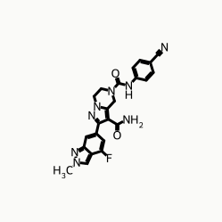 Cn1cc2c(F)cc(-c3nn4c(c3C(N)=O)CN(C(=O)Nc3ccc(C#N)cc3)CC4)cc2n1